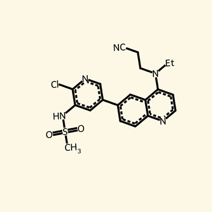 CCN(CCC#N)c1ccnc2ccc(-c3cnc(Cl)c(NS(C)(=O)=O)c3)cc12